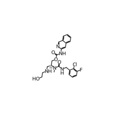 CN(C(=O)NCc1cccc(F)c1Cl)[C@@H](CNCCO)COC(=O)Nc1cc2ccccc2cn1